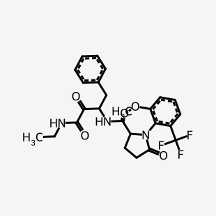 CCNC(=O)C(=O)C(Cc1ccccc1)NC(=O)C1CCC(=O)N1c1c(OC)cccc1C(F)(F)F